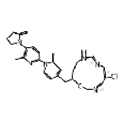 C=C1C=C(CC2CC\N=C/C(Cl)=C\N=C\NCC2)C=CN1c1ccc(N2CCCC2=C)c(C)n1